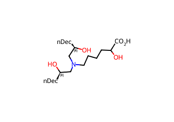 CCCCCCCCCC[C@@H](O)CN(CCCCC(O)C(=O)O)C[C@H](O)CCCCCCCCCC